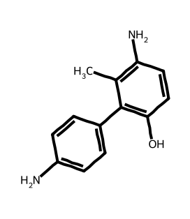 Cc1c(N)ccc(O)c1-c1ccc(N)cc1